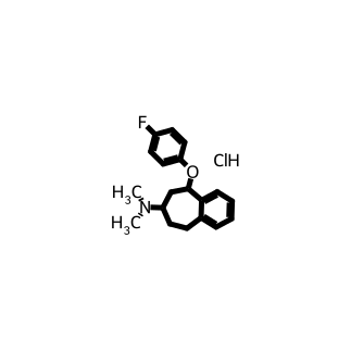 CN(C)C1CCc2ccccc2C(Oc2ccc(F)cc2)C1.Cl